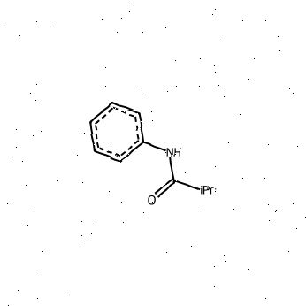 C[C](C)C(=O)Nc1ccccc1